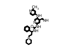 Cc1cc(Nc2cnc(NC(=O)NC(CCN3CCCCC3)c3ccccc3)cc2C=N)ccn1